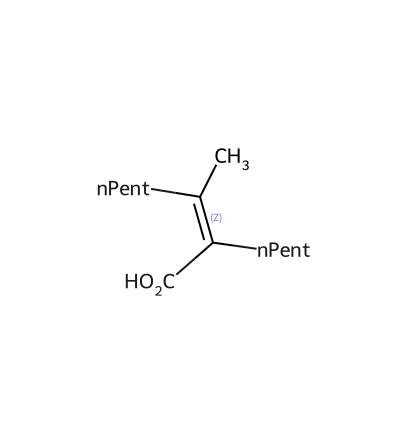 CCCCC/C(C)=C(/CCCCC)C(=O)O